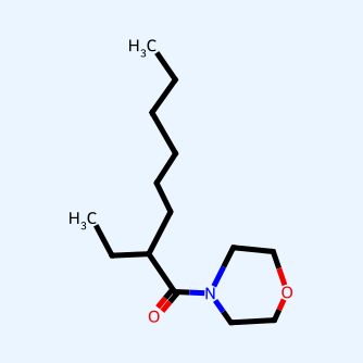 CCCCCCC(CC)C(=O)N1CCOCC1